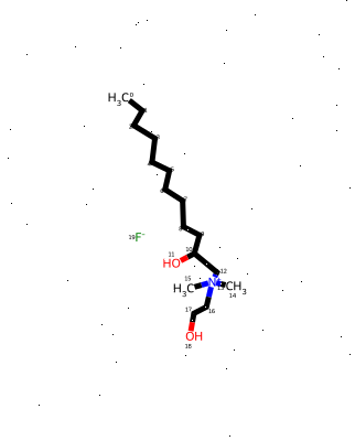 CCCCCCCCCCC(O)C[N+](C)(C)CCO.[F-]